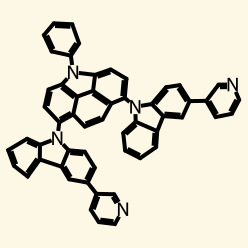 c1ccc(-n2c3ccc(-n4c5ccccc5c5cc(-c6cccnc6)ccc54)c4ccc5c(-n6c7ccccc7c7cc(-c8cccnc8)ccc76)ccc2c5c43)cc1